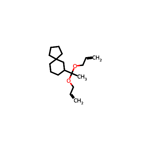 C=CCOC(C)(OCC=C)C1CCCC2(CCCC2)C1